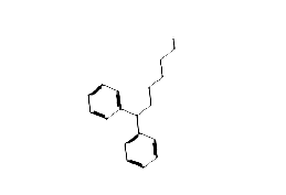 O=CCCCCCC(c1ccccc1)c1ccccc1